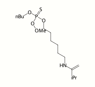 C=C(NCCCCCCOP(=S)(OCCCC)OOC)C(C)C